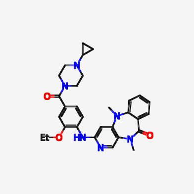 CCOc1cc(C(=O)N2CCN(C3CC3)CC2)ccc1Nc1cc2c(cn1)N(C)C(=O)c1ccccc1N2C